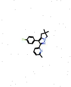 Cc1cccc(-c2nn3c(c2-c2ccc(F)cc2)CC(C)(C)C3)n1